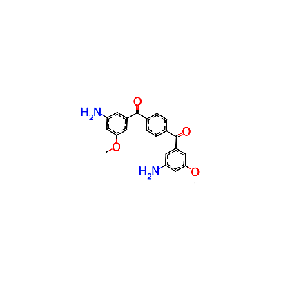 COc1cc(N)cc(C(=O)c2ccc(C(=O)c3cc(N)cc(OC)c3)cc2)c1